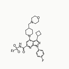 CCS(=O)(=O)NC(=O)c1cc(N2CCC(CN3CCOCC3)CC2)c2c(C3CCC3)nn(-c3ccc(F)cc3)c2n1